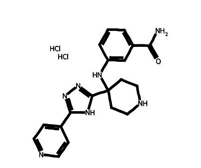 Cl.Cl.NC(=O)c1cccc(NC2(c3nnc(-c4ccncc4)[nH]3)CCNCC2)c1